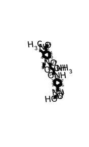 CN1Cc2cc(N3CCOC(C(O)C(=O)Nc4ccc(-c5noc(O)n5)cc4)C3=O)ccc2C1=O.N